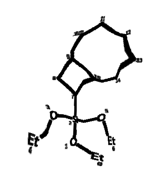 CCO[Si](OCC)(OCC)C1CC2CCCCCC21